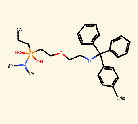 COc1ccc(C(NCCOCCP(O)(O)(CCC#N)N(C(C)C)C(C)C)(c2ccccc2)c2ccccc2)cc1